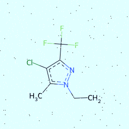 [CH2]Cn1nc(C(F)(F)F)c(Cl)c1C